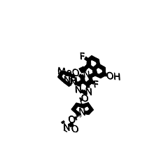 C#Cc1c(F)ccc2cc(O)cc(-c3nc(OC)c4c(N5CC6CCC(C5)N6)nc(OC[C@]56CCCN5[C@H](COC(=O)N(C)C)CC6)nc4c3F)c12